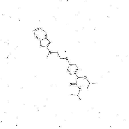 CC(C)OC(=O)C(OC(C)C)c1ccc(OCCN(C)c2nc3ccccc3s2)cc1